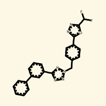 FC(F)c1nnc(-c2ccc(Cn3nnc(-c4cccc(-c5ccccc5)c4)n3)cc2)o1